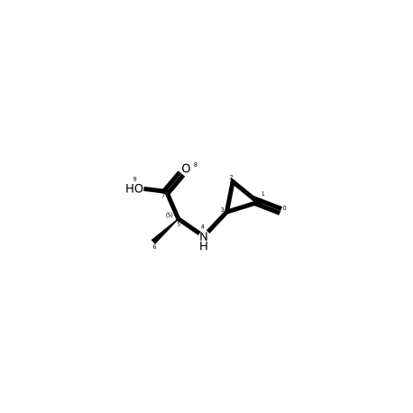 C=C1CC1N[C@@H](C)C(=O)O